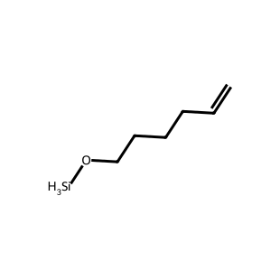 C=CCCCCO[SiH3]